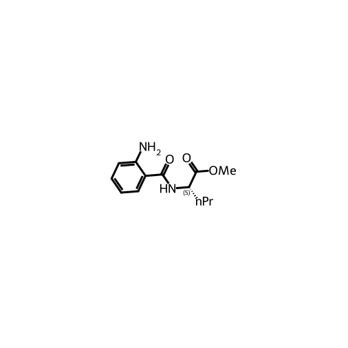 CCC[C@H](NC(=O)c1ccccc1N)C(=O)OC